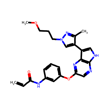 C=CC(=O)Nc1cccc(Oc2cnc3[nH]cc(-c4cn(CCCOC)nc4C)c3n2)c1